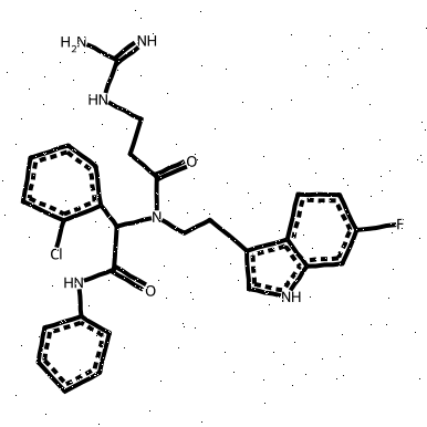 N=C(N)NCCC(=O)N(CCc1c[nH]c2cc(F)ccc12)C(C(=O)Nc1ccccc1)c1ccccc1Cl